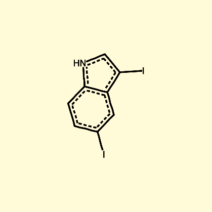 Ic1ccc2[nH]cc(I)c2c1